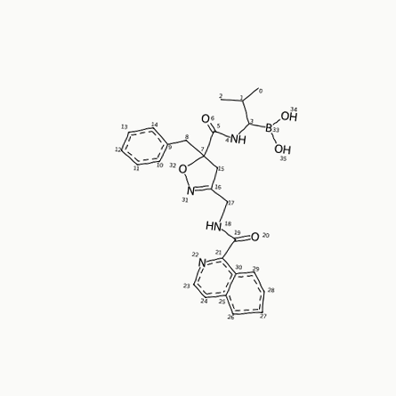 CC(C)C(NC(=O)C1(Cc2ccccc2)CC(CNC(=O)c2nccc3ccccc23)=NO1)B(O)O